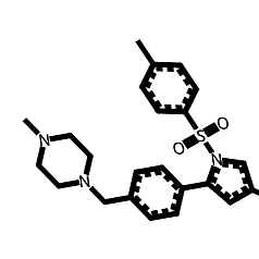 Cc1ccc(S(=O)(=O)n2cc(I)cc2-c2ccc(CN3CCN(C)CC3)cc2)cc1